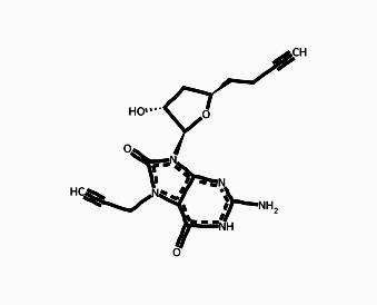 C#CCC[C@@H]1C[C@@H](O)[C@H](n2c(=O)n(CC#C)c3c(=O)[nH]c(N)nc32)O1